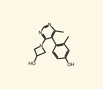 Cc1cc(O)ccc1-c1c(C)ncnc1N1CC(O)C1